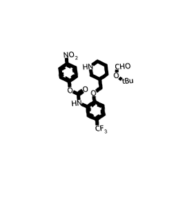 CC(C)(C)OC=O.O=C(Nc1cc(C(F)(F)F)ccc1OCC1CCCNC1)Oc1ccc([N+](=O)[O-])cc1